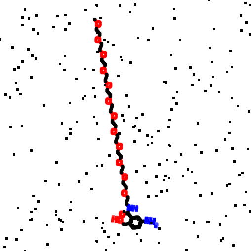 COCCOCCOCCOCCOCCOCCOCCOCCOCCOCCOCCOCCNC(=O)c1cc(N)ccc1CO